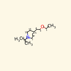 CCOCCC1CCN(C(C)C)CC1